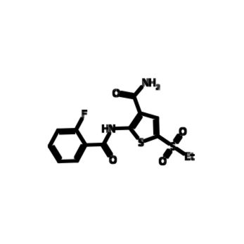 CCS(=O)(=O)c1cc(C(N)=O)c(NC(=O)c2ccccc2F)s1